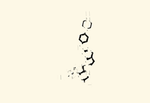 Cc1cnc(Cn2ccc3cnc(Nc4ccc(N5CCNCC5)cc4)nc32)c(N(C)S(C)(=O)=O)n1